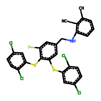 N#Cc1cccc(NCc2cc(F)c(Sc3cc(Cl)ccc3Cl)c(Sc3cc(Cl)ccc3Cl)c2)c1C#N